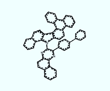 c1ccc(-c2ccc(-c3nc4c(ccc5ccccc54)nc3-n3c4ccc5c6ccccc6c6ccccc6c5c4c4ccc5ccccc5c43)cc2)cc1